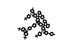 Cc1ccc(-c2ccc3c(c2)c2cc(C4(c5ccc6c(c5)c5cc(C7(c8ccc9c(c8)c8cc(C)ccc8n9-c8ccc(C(C)(C)C)cc8)c8ccccc8-c8ccccc87)ccc5n6-c5ccc(-c6ccc(-n7c8ccc(C(C)(C)C)cc8c8cc(C(C)(C)C)ccc87)cc6)cc5)c5ccccc5-c5ccccc54)ccc2n3-c2ccc(C(C)(C)C)cc2)cc1